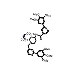 COc1cc(-c2cc(CN3CCC(NC(=O)c4ccnc(-c5cc(OC)c(OC)c(OC)c5)c4)CC3)ccn2)cc(OC)c1OC.O=C(O)/C=C\C(=O)O